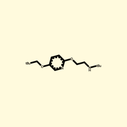 CC(C)(C)COc1ccc(OCCNC(C)(C)C)nc1